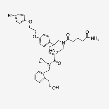 NC(=O)CCCC(=O)N1CC2NC(c3ccc(OCCOc4ccc(Br)cc4)cc3)(CC=C2C(=O)N(Cc2ccccc2CCO)C2CC2)C1